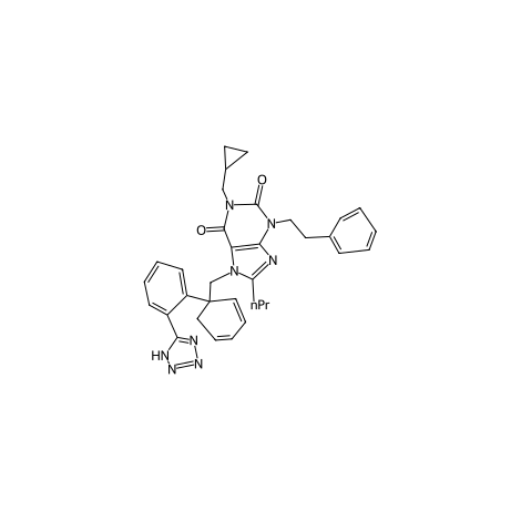 CCCc1nc2c(c(=O)n(CC3CC3)c(=O)n2CCc2ccccc2)n1CC1(c2ccccc2-c2nnn[nH]2)C=CC=CC1